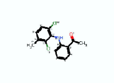 CC(=O)c1ccccc1Nc1c(Cl)ccc(C)c1Cl